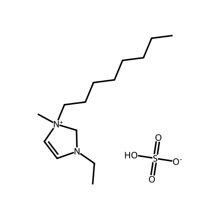 CCCCCCCC[N+]1(C)C=CN(CC)C1.O=S(=O)([O-])O